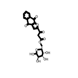 O=C(CC(=O)c1cc2c(o1)C(=O)c1ccccc1C2=O)OC[C@H]1OC(O)[C@H](O)[C@@H](O)[C@H]1O